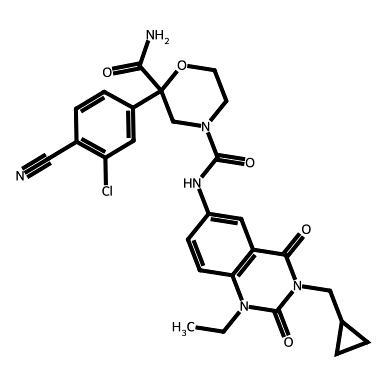 CCn1c(=O)n(CC2CC2)c(=O)c2cc(NC(=O)N3CCOC(C(N)=O)(c4ccc(C#N)c(Cl)c4)C3)ccc21